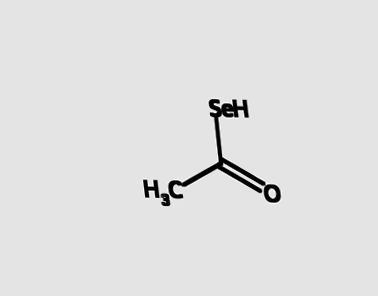 CC(=O)[SeH]